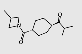 CC1CN(C(=O)[C@H]2CC[C@H](C(=O)C(C)C)CC2)C1